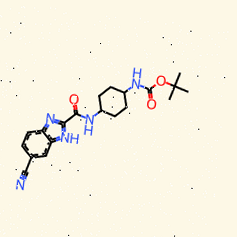 CC(C)(C)OC(=O)NC1CCC(NC(=O)c2nc3ccc(C#N)cc3[nH]2)CC1